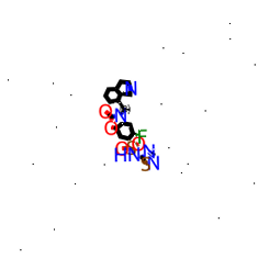 C[C@H](c1cccc2ccncc12)n1c(=O)oc2cc(S(=O)(=O)Nc3ncns3)c(F)cc21